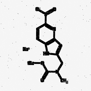 CN(Cc1cc2nc(S(=O)[O-])ccc2[nH]1)C(=O)OC(C)(C)C.[Na+]